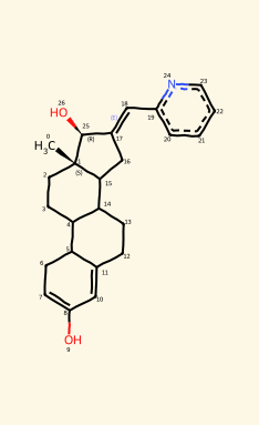 C[C@]12CCC3C4CC=C(O)C=C4CCC3C1C/C(=C\c1ccccn1)[C@@H]2O